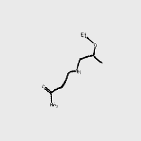 CCOC(C)CNCCC(N)=O